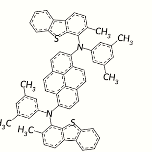 Cc1cc(C)cc(N(c2ccc3ccc4c(N(c5cc(C)cc(C)c5)c5c(C)ccc6c5sc5ccccc56)ccc5ccc2c3c54)c2c(C)ccc3c2sc2ccccc23)c1